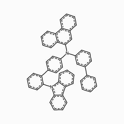 c1ccc(-c2cccc(N(c3ccc(-c4ccccc4-n4c5ccccc5c5ccccc54)cc3)c3cc4ccccc4c4ccccc34)c2)cc1